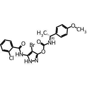 COc1ccc([C@@H](C)NC(=O)Oc2n[nH]c(NC(=O)c3ccccc3Cl)c2Br)cc1